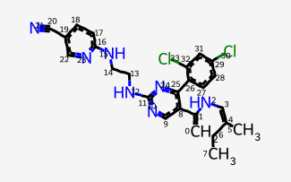 C=C(N/C=C(/C)CC)c1cnc(NCCNc2ccc(C#N)cn2)nc1-c1ccc(Cl)cc1Cl